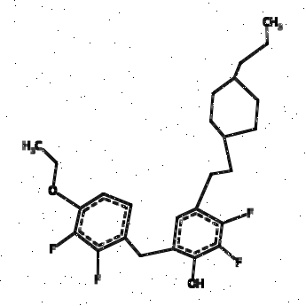 CCCC1CCC(CCc2cc(Cc3ccc(OCC)c(F)c3F)c(O)c(F)c2F)CC1